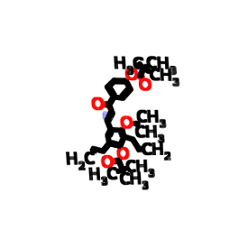 C=CCc1cc(/C=C/C(=O)c2ccc(OC(=O)C(C)(C)C)cc2)c(OC(C)C)c(CC=C)c1OC(=O)C(C)(C)C